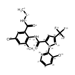 CSNC(=O)c1cc(Cl)cc(C)c1NC(=O)c1cc(C(F)(F)F)nn1-c1ncccc1Cl